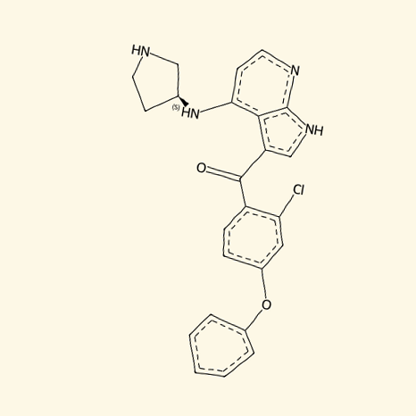 O=C(c1ccc(Oc2ccccc2)cc1Cl)c1c[nH]c2nccc(N[C@H]3CCNC3)c12